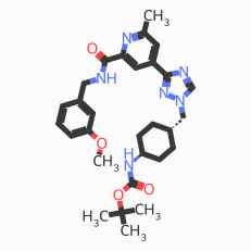 COc1cccc(CNC(=O)c2cc(-c3ncn(C[C@H]4CC[C@H](NC(=O)OC(C)(C)C)CC4)n3)cc(C)n2)c1